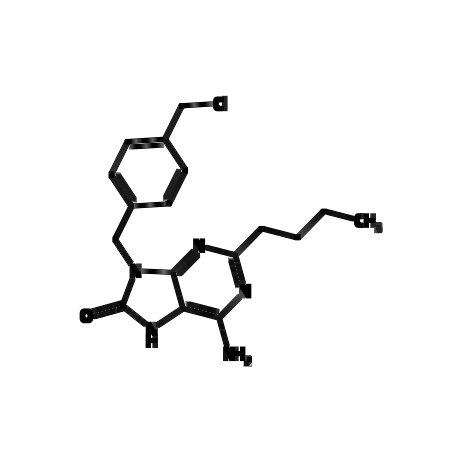 CCCCc1nc(N)c2[nH]c(=O)n(Cc3ccc(CCl)cc3)c2n1